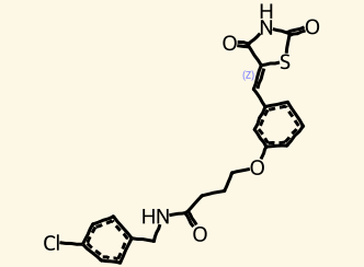 O=C(CCCOc1cccc(/C=C2\SC(=O)NC2=O)c1)NCc1ccc(Cl)cc1